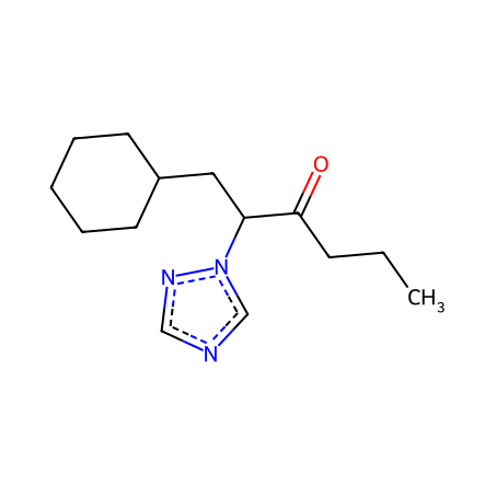 CCCC(=O)C(CC1CCCCC1)n1cncn1